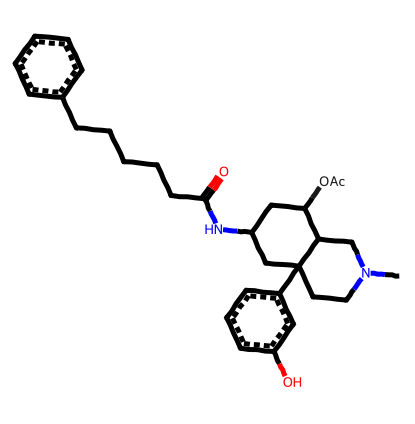 CC(=O)OC1CC(NC(=O)CCCCCc2ccccc2)CC2(c3cccc(O)c3)CCN(C)CC12